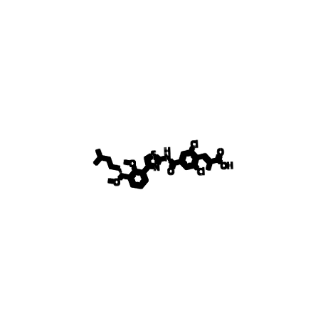 COc1c(-c2csc(NC(=O)c3cc(Cl)c(C=C(C)C(=O)O)c(Cl)c3)n2)cccc1[C@@H](CCCC(C)C)OC